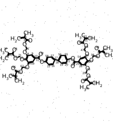 C=C(C)C(=O)OCOc1cc(C(=O)Oc2ccc(-c3ccc(OC(=O)c4cc(OCOC(=O)C(=C)C)c(OCOC(=O)C(=C)C)c(OCOC(=O)C(=C)C)c4)cc3)cc2)cc(OCOC(=O)C(=C)C)c1OCOC(=O)C(=C)C